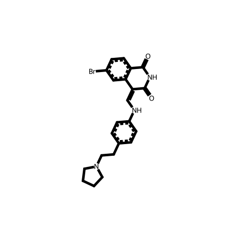 O=C1NC(=O)c2ccc(Br)cc2C1=CNc1ccc(CCN2CCCC2)cc1